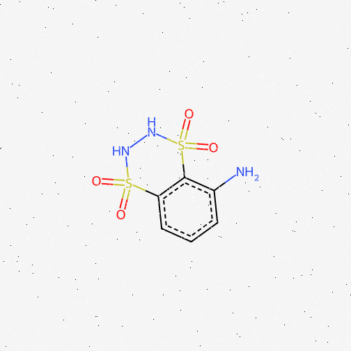 Nc1cccc2c1S(=O)(=O)NNS2(=O)=O